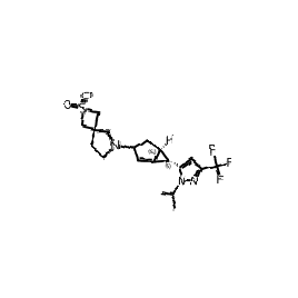 CC(C)n1nc(C(F)(F)F)cc1[C@@H]1C2=CC(N3CCC4(C3)CS(=O)(=O)C4)C[C@H]21